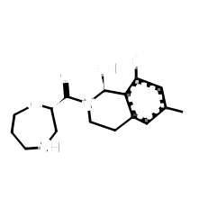 C[C@H]1c2c(Cl)cc(Cl)cc2CCN1C(=O)[C@H]1CNCCCO1